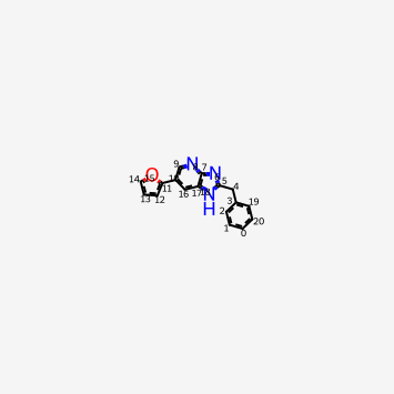 c1ccc(Cc2nc3ncc(-c4ccco4)cc3[nH]2)cc1